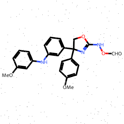 COc1ccc(C2(c3cccc(Nc4cccc(OC)c4)c3)COC(NOC=O)=N2)cc1